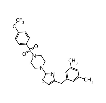 Cc1cc(C)cc(Cc2csc(N3CCN(S(=O)(=O)c4ccc(OC(F)(F)F)cc4)CC3)n2)c1